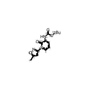 Cc1cc(-n2cccc(NC(=O)OC(C)(C)C)c2=O)no1